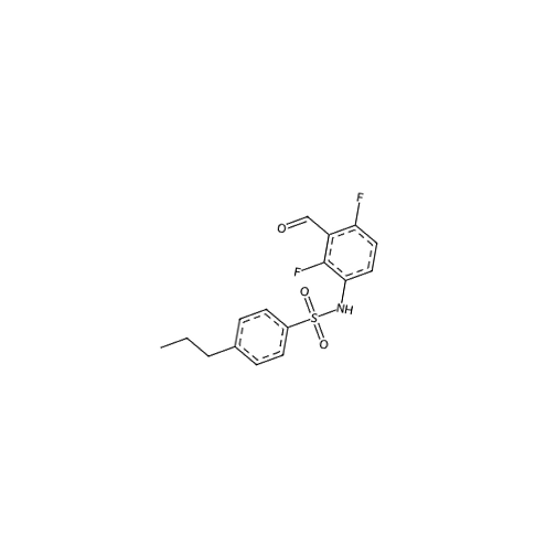 CCCc1ccc(S(=O)(=O)Nc2ccc(F)c(C=O)c2F)cc1